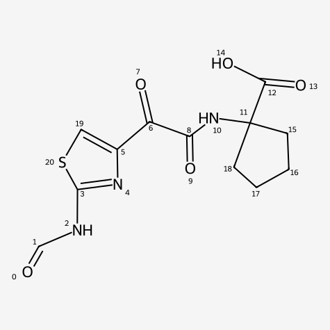 O=CNc1nc(C(=O)C(=O)NC2(C(=O)O)CCCC2)cs1